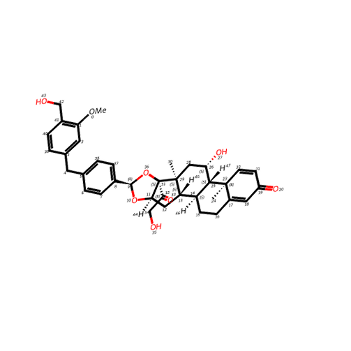 COc1cc(Cc2ccc([C@@H]3O[C@@H]4C[C@H]5[C@@H]6CCC7=CC(=O)C=C[C@]7(C)[C@H]6[C@@H](O)C[C@]5(C)[C@]4(C(=O)CO)O3)cc2)ccc1CO